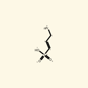 CCCCC=CS(=O)(=O)O